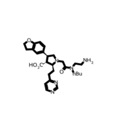 CCCCN(CCN)C(=O)CN1C[C@H](c2ccc3c(c2)CCO3)[C@@H](C(=O)O)[C@@H]1CCc1ccncn1